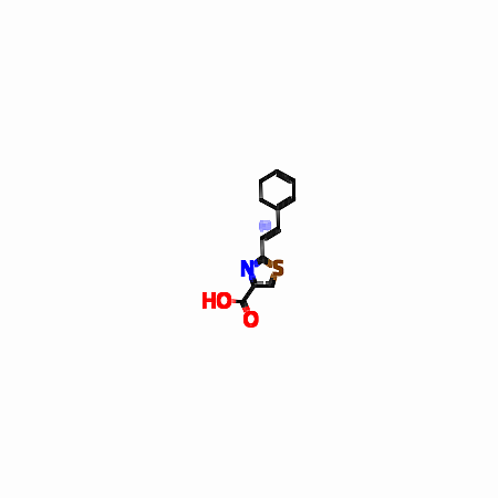 O=C(O)c1csc(/C=C/C2=CC=CCC2)n1